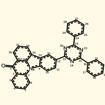 O=c1c2ccccc2n2c3ccc(-c4nc(-c5ccccc5)nc(-c5ccccc5)n4)cc3c3cccc1c32